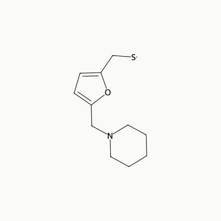 [S]Cc1ccc(CN2CCCCC2)o1